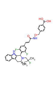 C[C@@H]1Cc2c([nH]c3ccccc23)[C@@H](c2c(F)cc(/C=C/C(=O)NOCc3ccc(B(O)O)cc3)cc2F)N1CC(C)(C)F